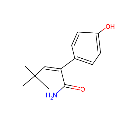 CC(C)(C)C=C(C(N)=O)c1ccc(O)cc1